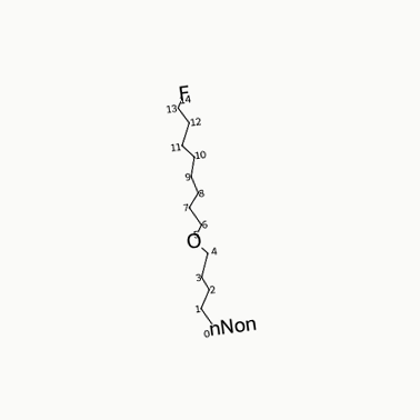 CCCCCCCCCCCCCOCCCCCCCCF